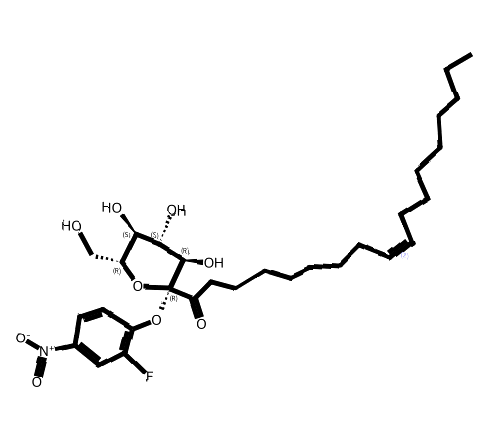 CCCCCCCC/C=C\CCCCCCCC(=O)[C@@]1(Oc2ccc([N+](=O)[O-])cc2F)O[C@H](CO)[C@@H](O)[C@H](O)[C@H]1O